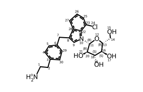 NCCc1ccc(Cc2cn([C@@H]3O[C@H](CO)[C@@H](O)[C@H](O)[C@H]3O)c3c(Cl)cccc23)cc1